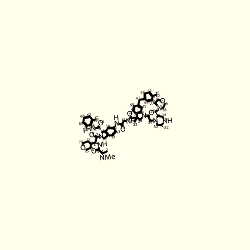 CN[C@@H](C)C(=O)N[C@H](C(=O)N1Cc2ccc(NC(=O)CNC(=O)C3(C)CN(C(=O)CN4C[C@@H](C)NC[C@@H]4CN4CCOC[C@H]4C)c4cc(Cc5ccc(F)cc5)ccc43)cc2[C@H]1C(=O)Nc1c(F)cccc1F)C1CCOCC1